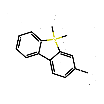 Cc1ccc2c(c1)S(C)(C)c1ccccc1-2